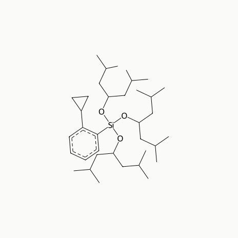 CC(C)CC(CC(C)C)O[Si](OC(CC(C)C)CC(C)C)(OC(CC(C)C)CC(C)C)c1ccccc1C1CC1